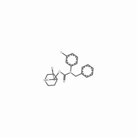 O=C(O[C@H]1CN2CCC1CC2)N(Cc1ccccc1)c1cccc(F)c1